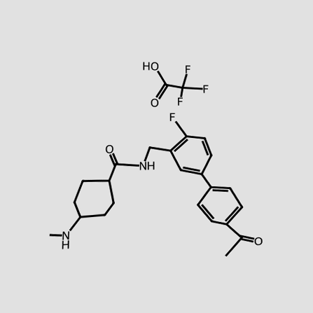 CNC1CCC(C(=O)NCc2cc(-c3ccc(C(C)=O)cc3)ccc2F)CC1.O=C(O)C(F)(F)F